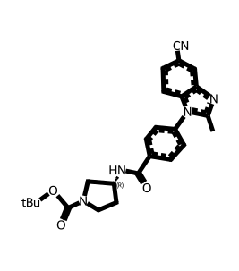 Cc1nc2cc(C#N)ccc2n1-c1ccc(C(=O)N[C@@H]2CCN(C(=O)OC(C)(C)C)C2)cc1